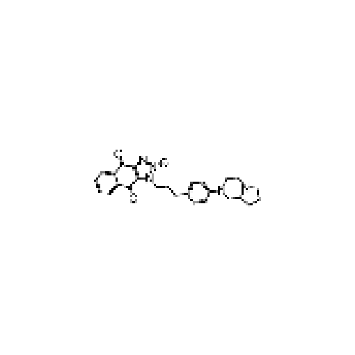 O=C1c2ccccc2C(=O)c2c1n[n+]([O-])n2CCCc1ccc(N2CCN3CCCC3C2)cc1